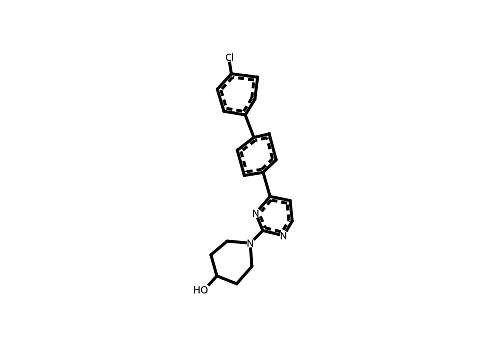 OC1CCN(c2nccc(-c3ccc(-c4ccc(Cl)cc4)cc3)n2)CC1